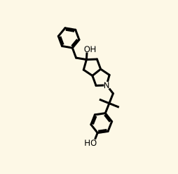 CC(C)(CN1CC2CC(O)(Cc3ccccc3)CC2C1)c1ccc(O)cc1